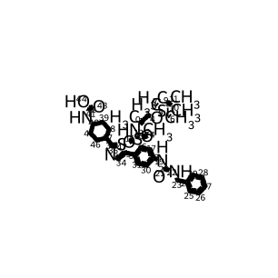 CC(C)(CO[Si](C)(C)C(C)(C)C)NS(=O)(=O)c1cc(NC(=O)NCc2ccccc2)ccc1-c1cnc(C2CCC(NC(=O)O)CC2)s1